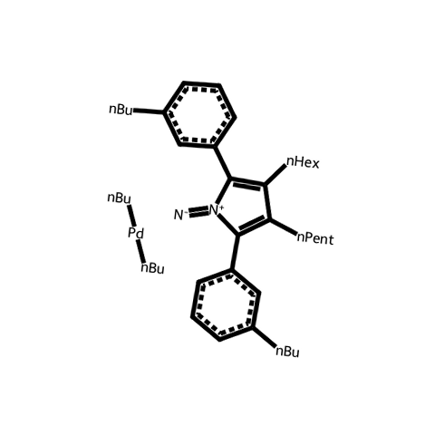 CCCCCCC1=C(c2cccc(CCCC)c2)[N+](=[N-])C(c2cccc(CCCC)c2)=C1CCCCC.CCC[CH2][Pd][CH2]CCC